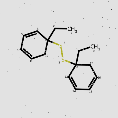 CCC1(SSC2(CC)C=CC=CC2)C=CC=CC1